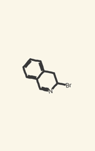 BrC1Cc2ccccc2C=N1